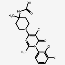 Cc1nc(N2CCC(C)(NC(=O)O)CC2)c(Cl)c(=O)n1-c1cccc(Cl)c1Cl